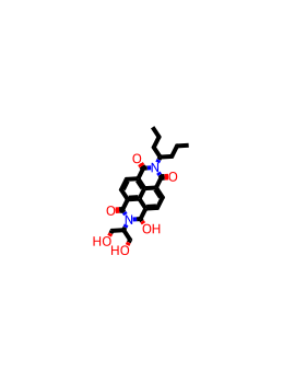 CCCC(CCC)N1C(=O)c2ccc3c4c(ccc(c24)C1=O)C(O)N(C(CO)CO)C3=O